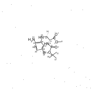 COC(=O)[C@H](NC(=O)OC(C)(C)C)[C@@H](C)Nc1cc(Br)cnc1N